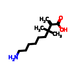 C=C(C(=O)O)C(C)(C)CCCCCCN